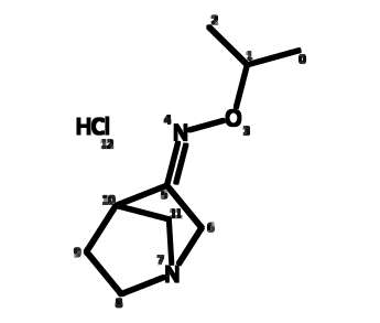 CC(C)ON=C1CN2CCC1C2.Cl